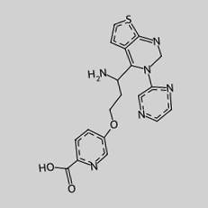 NC(CCOc1ccc(C(=O)O)nc1)C1=c2ccsc2=NCN1c1cnccn1